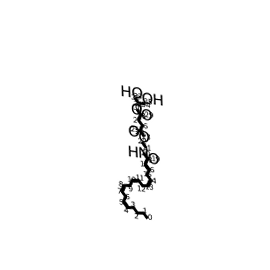 CCCC/C=C\C/C=C\C/C=C\C/C=C\C/C=C/C(=O)NCCOC(=O)CCC(=O)OC(CO)CO